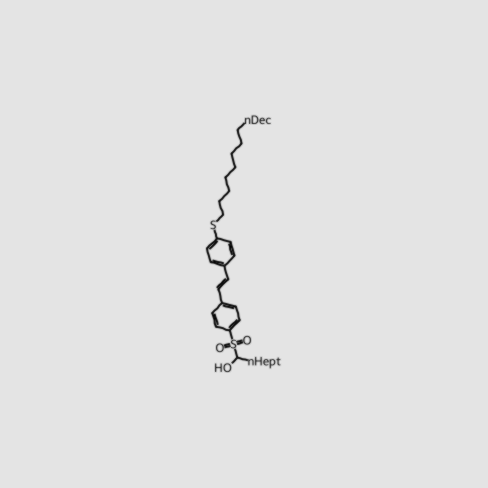 CCCCCCCCCCCCCCCCCCSc1ccc(C=Cc2ccc(S(=O)(=O)C(O)CCCCCCC)cc2)cc1